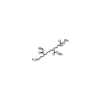 CC(C)(C)OC(=O)NCCCN(CCCCN(CCCN)C(=O)OC(C)(C)C)C(=O)OC(C)(C)C